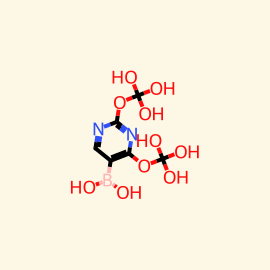 OB(O)c1cnc(OC(O)(O)O)nc1OC(O)(O)O